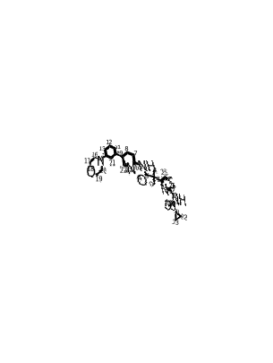 CC(C)(C(=O)Nc1ccc(-c2cccc(N3CCOCC3)c2)cn1)c1csc(N[S+]([O-])C2CC2)n1